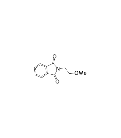 [CH2]OCCN1C(=O)c2ccccc2C1=O